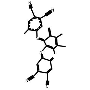 C=C1C=C(C#N)C(C#N)=C/C1=N/C1=C(C)C(C)=C(C)C(=C)/C1=N\c1cc(C#N)c(C#N)cc1C